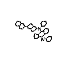 CN(c1ccccc1)c1c2ccccc2c(N(c2ccccc2)c2ccc3cc(-c4ccc5ccccc5c4)ccc3c2)c2ccccc12